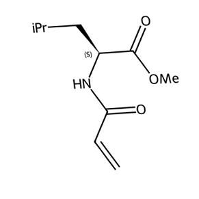 C=CC(=O)N[C@@H](CC(C)C)C(=O)OC